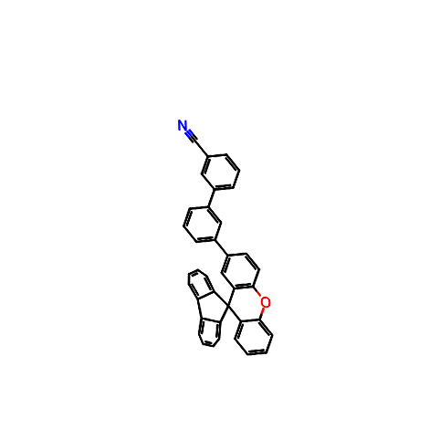 N#Cc1cccc(-c2cccc(-c3ccc4c(c3)C3(c5ccccc5O4)c4ccccc4-c4ccccc43)c2)c1